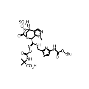 Cn1ncc2c1[C@@H](/C(=N/OC(=O)NC(C)(C)C(=O)O)NCc1nc(NC(=O)OC(C)(C)C)cs1)N1C[C@@H]2N(OS(=O)(=O)O)C1=O